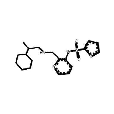 CC(CNCc1ncccc1NS(=O)(=O)c1cccs1)C1CCCCC1